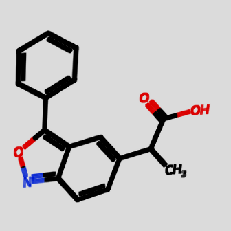 CC(C(=O)O)c1ccc2noc(-c3ccccc3)c2c1